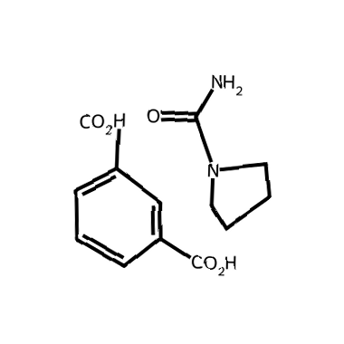 NC(=O)N1CCCC1.O=C(O)c1cccc(C(=O)O)c1